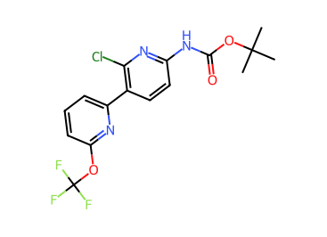 CC(C)(C)OC(=O)Nc1ccc(-c2cccc(OC(F)(F)F)n2)c(Cl)n1